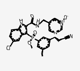 COP(=O)(c1cc(C)cc(/C=C/C#N)c1)c1c(C(=O)NCc2cnc[n+]([O-])c2)[nH]c2ccc(Cl)cc12